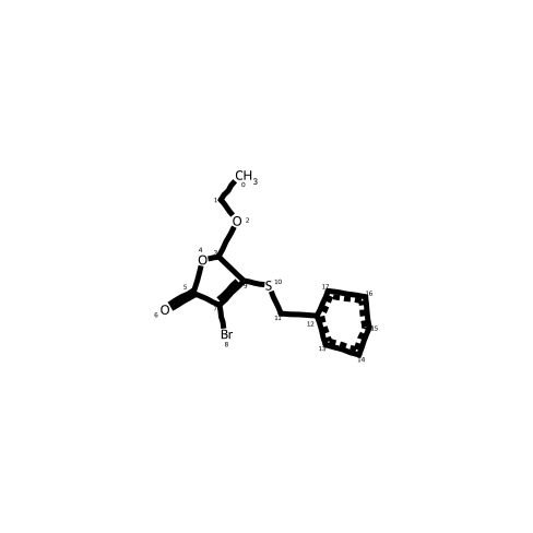 CCOC1OC(=O)C(Br)=C1SCc1ccccc1